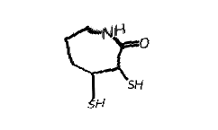 O=C1NCCCC(S)C1S